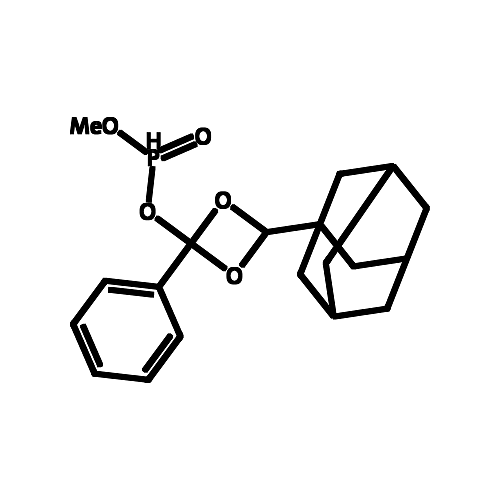 CO[PH](=O)OC1(c2ccccc2)OC(C23CC4CC(CC(C4)C2)C3)O1